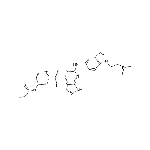 C=CC(=O)Nc1cccc(C(F)(F)c2nc(Nc3ccc4c(ccn4CCN(C)C)c3)nc3[nH]cnc23)c1